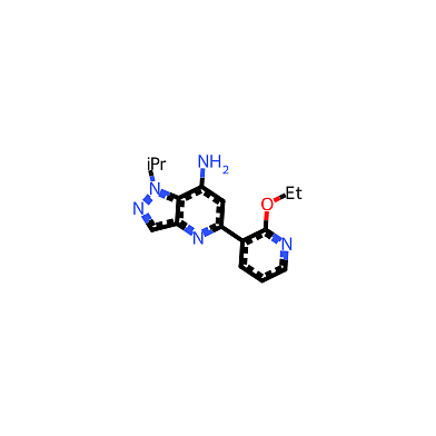 CCOc1ncccc1-c1cc(N)c2c(cnn2C(C)C)n1